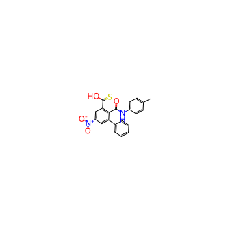 Cc1ccc(NC(=O)c2c(C(O)=S)cc([N+](=O)[O-])cc2-c2ccccc2)cc1